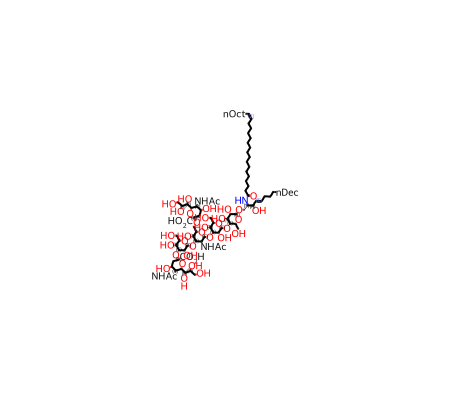 CCCCCCCC/C=C\CCCCCCCCCCCCCCCC(=O)N[C@@H](CO[C@@H]1OC(CO)[C@@H](O[C@@H]2OC(CO)[C@H](O)[C@H](O[C@@H]3OC(CO[C@]4(C(=O)O)CC(O)[C@@H](NC(C)=O)C([C@H](O)[C@H](O)CO)O4)[C@@H](O)[C@H](O[C@@H]4OC(CO)[C@H](O)[C@H](O[C@]5(C(=O)O)CC(O)[C@@H](NC(C)=O)C([C@H](O)[C@H](O)CO)O5)C4O)C3NC(C)=O)C2O)[C@H](O)C1O)[C@H](O)/C=C/CCCCCCCCCCCCC